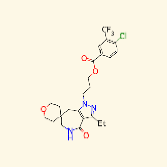 CCc1nn(CCCOC(=O)c2ccc(Cl)c(C(F)(F)F)c2)c2c1C(=O)NCC1(CCOCC1)C2